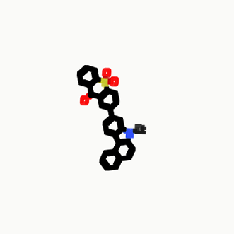 CCn1c2cc(-c3ccc4c(c3)C(=O)c3ccccc3S4(=O)=O)ccc2c2c3ccccc3ccc21